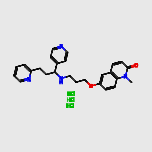 Cl.Cl.Cl.Cn1c(=O)ccc2cc(OCCCNC(CCc3ccccn3)c3ccncc3)ccc21